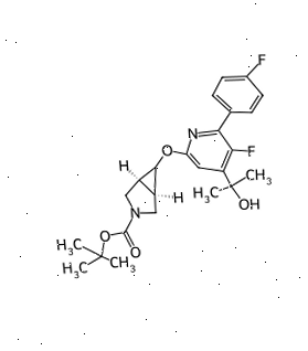 CC(C)(C)OC(=O)N1C[C@@H]2C(Oc3cc(C(C)(C)O)c(F)c(-c4ccc(F)cc4)n3)[C@@H]2C1